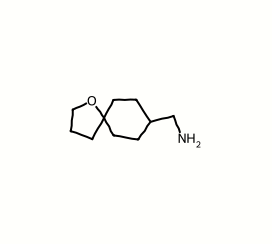 NCC1CCC2(CCCO2)CC1